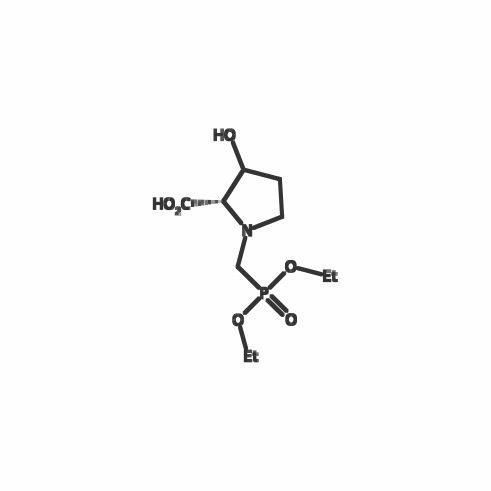 CCOP(=O)(CN1CCC(O)[C@H]1C(=O)O)OCC